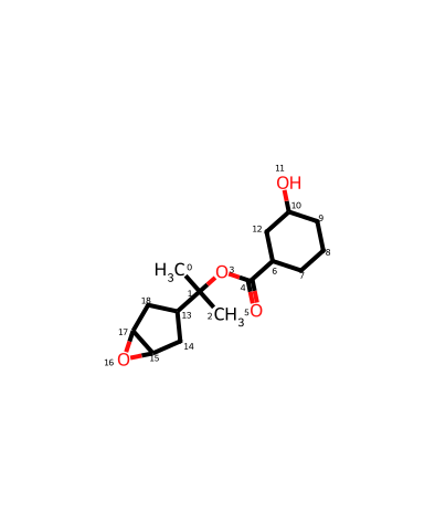 CC(C)(OC(=O)C1CCCC(O)C1)C1CC2OC2C1